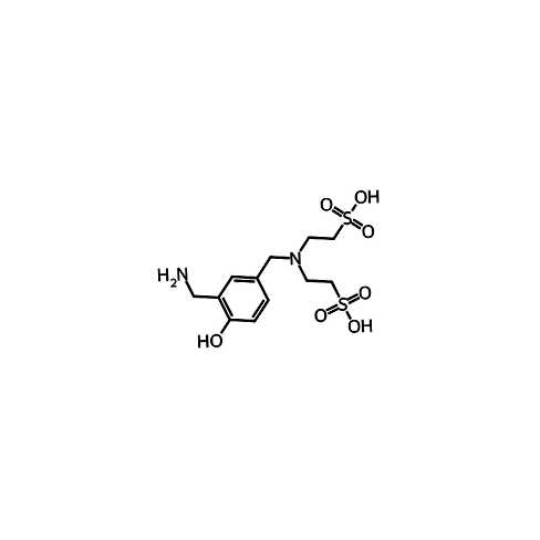 NCc1cc(CN(CCS(=O)(=O)O)CCS(=O)(=O)O)ccc1O